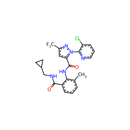 Cc1cccc(C(=O)NCC2CC2)c1NC(=O)c1cc(C(F)(F)F)nn1-c1ncccc1Cl